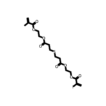 C=C(C)C(=O)OCCOC(=O)CCSCCC(=O)OCCOC(=O)C(=C)I